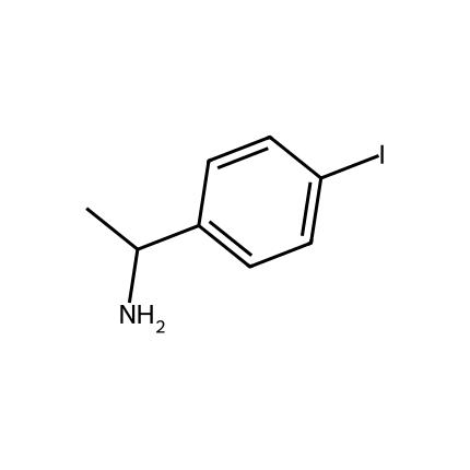 CC(N)c1ccc(I)cc1